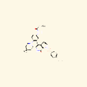 CNC(=O)Nc1ccc(N2CCC3(CC2)CC3)c(-c2cn(C)c(=O)c3c2ccn3S(=O)(=O)c2ccc(C)cc2)c1